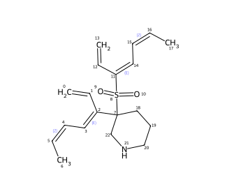 C=C/C(=C\C=C/C)C1(S(=O)(=O)/C(C=C)=C/C=C\C)CCCNC1